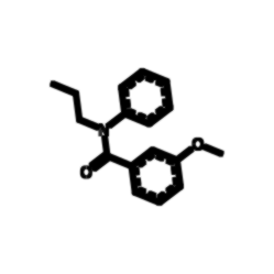 CCCN(C(=O)c1cccc(OC)c1)c1ccccc1